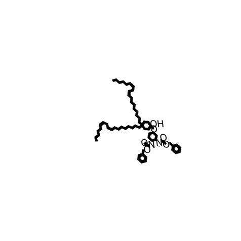 CCCCC/C=C\C/C=C\CCCCCCCCC1(CCCCCCCC/C=C\C/C=C\CCCCC)CCC(O)(O[C@@H]2CC[C@H](N(C)C(=O)OCc3ccccc3)[C@H](N(C)C(=O)OCc3ccccc3)C2)CC1